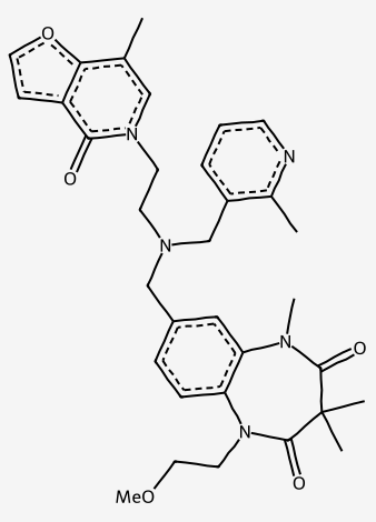 COCCN1C(=O)C(C)(C)C(=O)N(C)c2cc(CN(CCn3cc(C)c4occc4c3=O)Cc3cccnc3C)ccc21